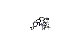 COC1CCC2(CC1)Cc1ccc(Br)cc1C2/N=C(/NC(=O)OC(C)(C)C)N(C)C=O